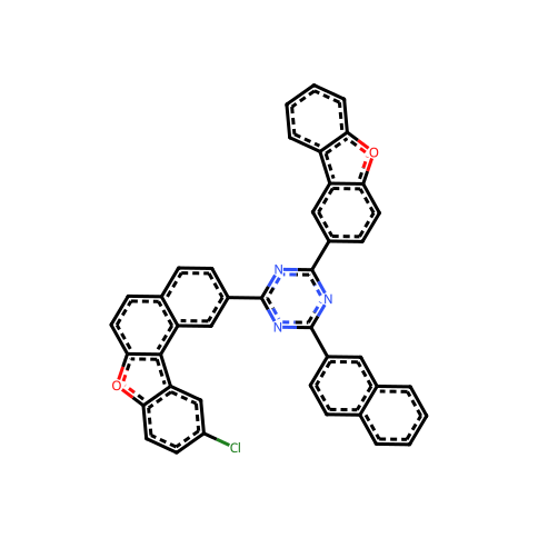 Clc1ccc2oc3ccc4ccc(-c5nc(-c6ccc7ccccc7c6)nc(-c6ccc7oc8ccccc8c7c6)n5)cc4c3c2c1